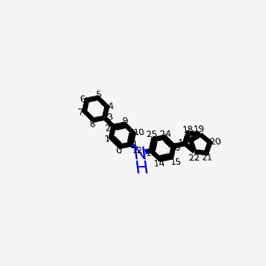 c1cc(C2CCCCC2)ccc1Nc1ccc(C2CC3CCC2C3)cc1